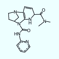 CN(C)C(=O)C1C=CC2=C(N1)N(C(=O)Nc1ccccn1)C1CCN2C1